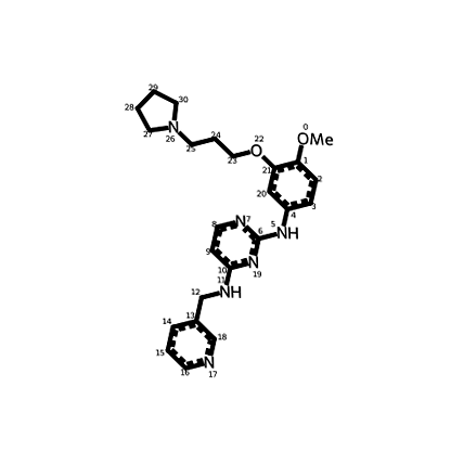 COc1ccc(Nc2nccc(NCc3cccnc3)n2)cc1OCCCN1CCCC1